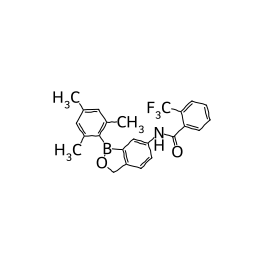 Cc1cc(C)c(B2OCc3ccc(NC(=O)c4ccccc4C(F)(F)F)cc32)c(C)c1